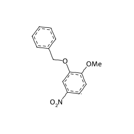 COc1c[c]c([N+](=O)[O-])cc1OCc1ccccc1